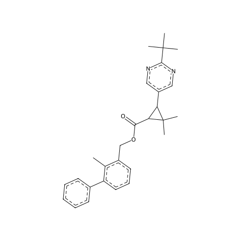 Cc1c(COC(=O)C2C(c3cnc(C(C)(C)C)nc3)C2(C)C)cccc1-c1ccccc1